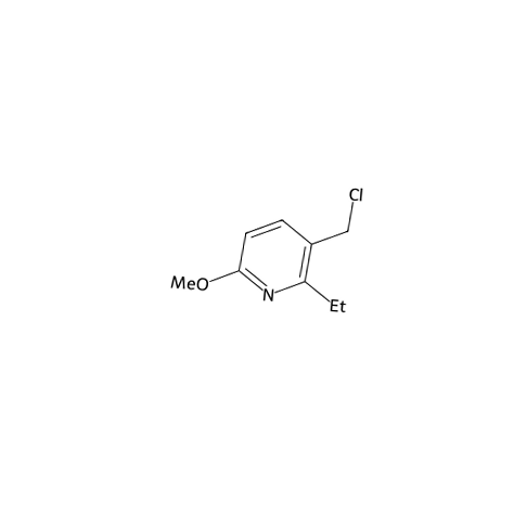 [CH2]Cc1nc(OC)ccc1CCl